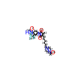 CC(=O)Nc1ccc(N2C(=O)C(C)=C(CCCCCCN3CCN(C(C)=O)CC3)C2=O)cc1C(F)(F)F